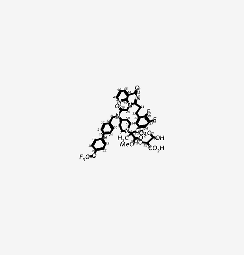 COC(=O)C(C)(C)N1CCC(N(Cc2ccc(-c3ccc(OC(F)(F)F)cc3)cc2)C(=O)Cn2c(CCc3cccc(F)c3F)nc(=O)c3cccnc32)CC1.O=C(O)C(O)C(O)C(=O)O